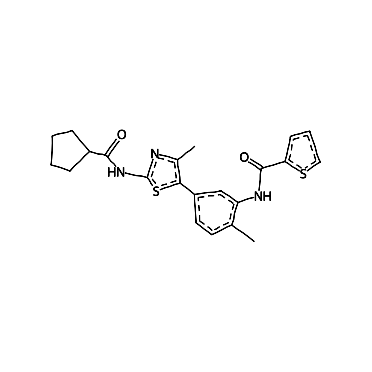 Cc1ccc(-c2sc(NC(=O)C3CCCC3)nc2C)cc1NC(=O)c1cccs1